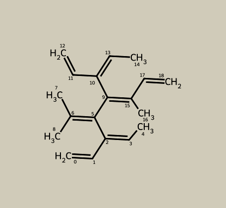 C=C/C(=C/C)C(=C(C)C)C(/C(C=C)=C\C)=C(\C)C=C